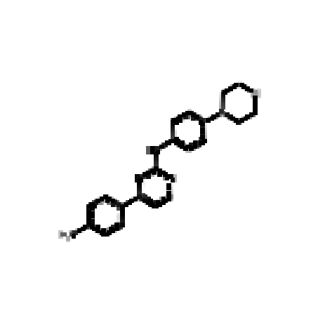 Nc1ccc(-c2ccnc(Nc3ccc(N4CCNCC4)cc3)n2)cc1